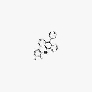 Cc1cccc(Bc2c3ccccc3c(-c3ccccc3)c3ccccc23)c1C